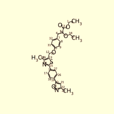 CCOC(=O)[C@H](Cc1ccc(OCc2sc(-c3ccc(-c4cc(C)no4)cc3)nc2C)cc1)OCC